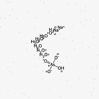 O.O.O.O.O.O.O.O=[As]([O-])([O-])O.[Na+].[Na+]